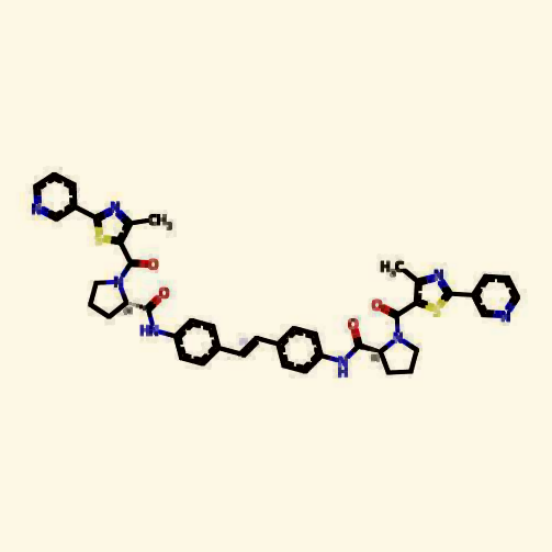 Cc1nc(-c2cccnc2)sc1C(=O)N1CCC[C@H]1C(=O)Nc1ccc(/C=C/c2ccc(NC(=O)[C@@H]3CCCN3C(=O)c3sc(-c4cccnc4)nc3C)cc2)cc1